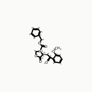 COc1ccccc1C(=O)C[C@H]1C(=O)OCN1C(=O)OCc1ccccc1